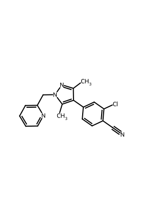 Cc1nn(Cc2ccccn2)c(C)c1-c1ccc(C#N)c(Cl)c1